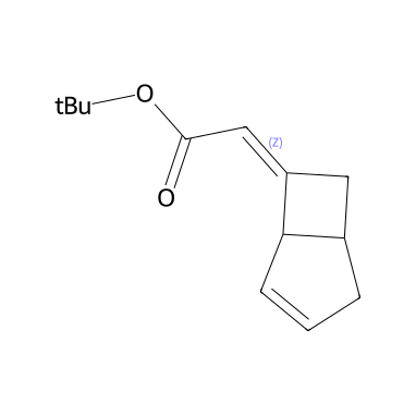 CC(C)(C)OC(=O)/C=C1/CC2CC=CC12